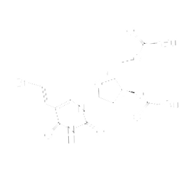 CCCCC(=O)OC[C@H]1O[C@@H](n2cc(/C=C/Br)c(=O)[nH]c2=O)C[C@@H]1OC(=O)CCCC